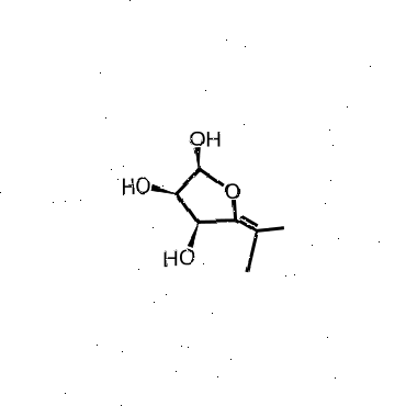 CC(C)=C1O[C@H](O)[C@H](O)[C@@H]1O